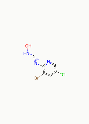 ON/C=N/c1ncc(Cl)cc1Br